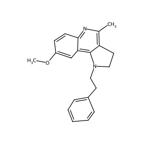 COc1ccc2nc(C)c3c(c2c1)N(CCc1ccccc1)CC3